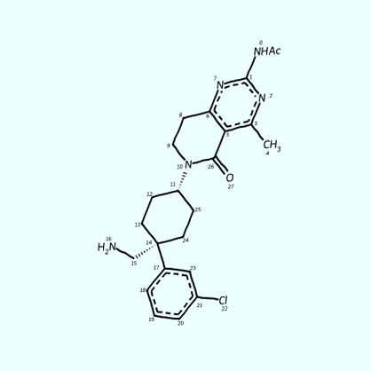 CC(=O)Nc1nc(C)c2c(n1)CCN([C@H]1CC[C@](CN)(c3cccc(Cl)c3)CC1)C2=O